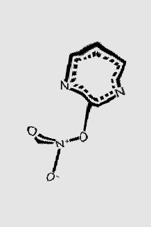 O=[N+]([O-])Oc1ncccn1